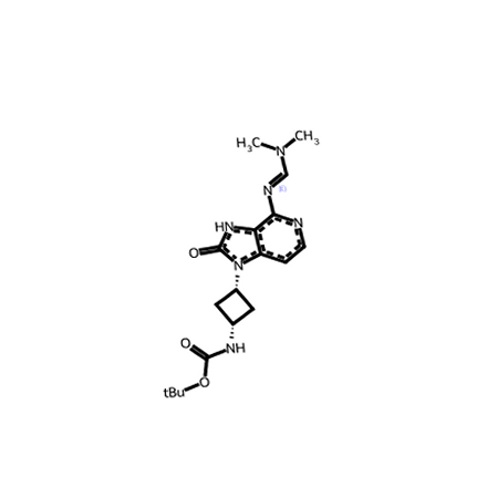 CN(C)/C=N/c1nccc2c1[nH]c(=O)n2[C@H]1C[C@@H](NC(=O)OC(C)(C)C)C1